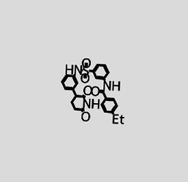 CCc1ccc(C(=O)Nc2cccc(S(=O)(=O)Nc3cccc(C4CCC(=O)NC4=O)c3)c2)cc1